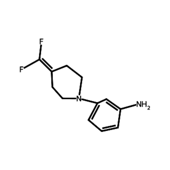 Nc1cccc(N2CCC(=C(F)F)CC2)c1